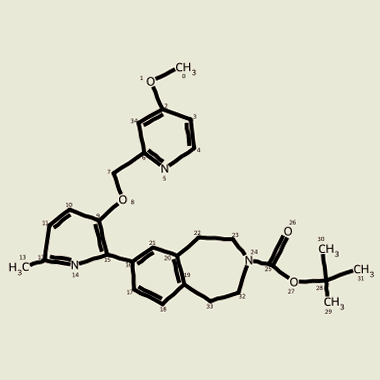 COc1ccnc(COc2ccc(C)nc2-c2ccc3c(c2)CCN(C(=O)OC(C)(C)C)CC3)c1